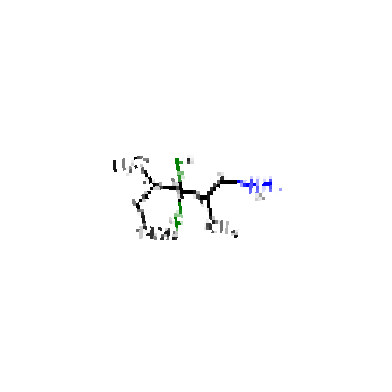 CNCC(C)C(F)(F)C(C)CN